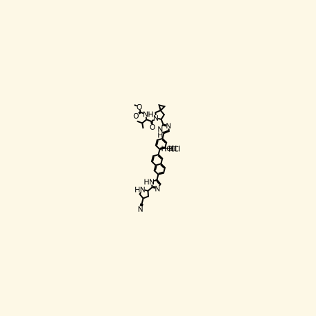 COC(=O)NC(C(=O)N1CC2(CC2)CC1c1ncc(-c2ccc(-c3ccc4cc(-c5cnc(C6CC(C#N)CN6)[nH]5)ccc4c3)cc2)[nH]1)C(C)C.Cl.Cl.Cl